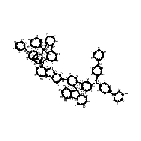 c1ccc(-c2ccc(N(c3ccc(-c4ccccc4)cc3)c3ccc4c(c3)-c3ccc(-c5ccc6c(c5)oc5c(N(c7ccc(-c8ccccc8)cc7)c7cccc8c7C7(c9ccccc9-c9ccccc97)c7ccccc7-8)cccc56)cc3C43c4ccccc4-c4ccccc43)cc2)cc1